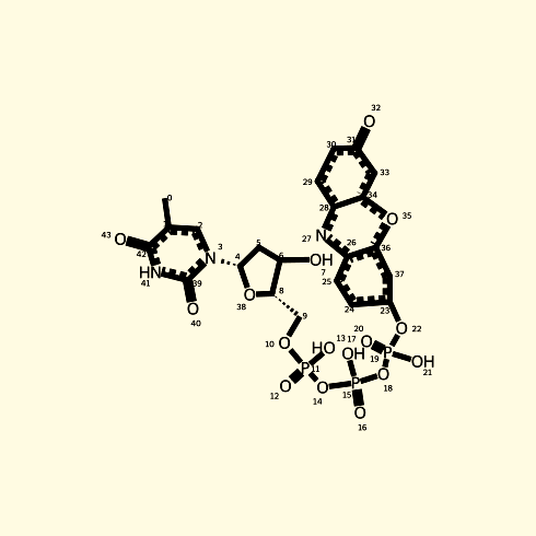 Cc1cn([C@@H]2CC(O)[C@H](COP(=O)(O)OP(=O)(O)OP(=O)(O)Oc3ccc4nc5ccc(=O)cc-5oc4c3)O2)c(=O)[nH]c1=O